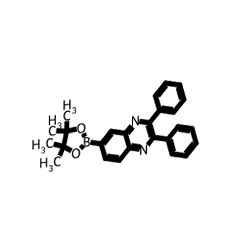 CC1(C)OB(c2ccc3nc(-c4ccccc4)c(-c4ccccc4)nc3c2)OC1(C)C